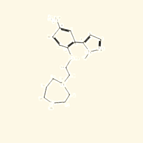 Cn1nccc1-c1cc(N)ccc1OCCN1CCCSCC1